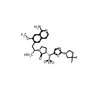 Nc1nccc2cc(C[C@H](C(=O)O)N3CC[C@H](N(c4cnc(N5CCC(F)(F)C5)s4)[SH](=O)=O)C3=O)c(OC(F)(F)F)cc12